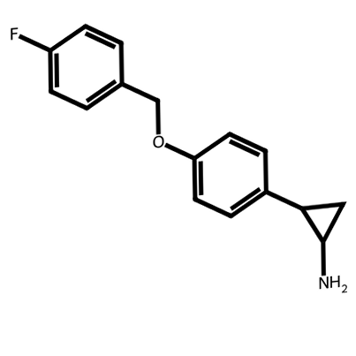 NC1CC1c1ccc(OCc2ccc(F)cc2)cc1